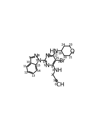 C#CCNc1nc(-n2ncc3ccccc32)nc(NC2CCOCC2)c1Br